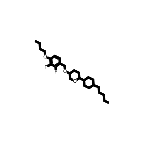 CCCCCC1CCC(C2CCC(OCc3ccc(OCCCC)c(F)c3F)CO2)CC1